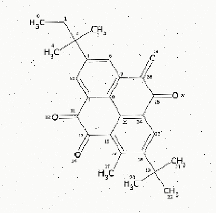 CCC(C)(C)c1cc2c3c(c1)c(=O)c(=O)c1c(C)c(C(C)(C)C)cc(c1-3)c(=O)c2=O